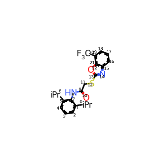 CC(C)c1cccc(C(C)C)c1NC(=O)CSc1nc2cccc(C(F)(F)F)c2o1